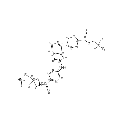 O=C(CCC(F)(F)F)N1CC=C(c2cccn3nc(Nc4ccc(C(=O)N5CC6(CCNCC6)C5)cc4)nc23)CC1